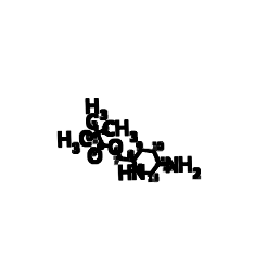 CC(C)(C)C(=O)OCC1CCC(N)CN1